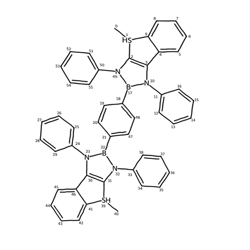 C[SH]1C2=C(c3ccccc31)N(c1ccccc1)B(c1ccc(B3N(c4ccccc4)C4=C(N3c3ccccc3)[SH](C)c3ccccc34)cc1)N2c1ccccc1